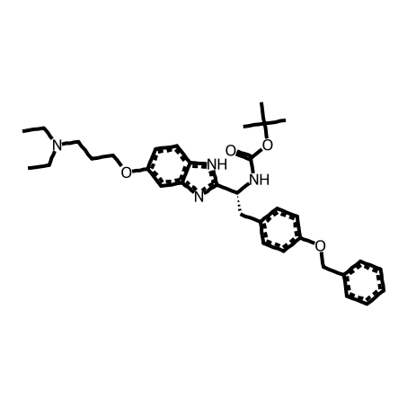 CCN(CC)CCCOc1ccc2[nH]c([C@@H](Cc3ccc(OCc4ccccc4)cc3)NC(=O)OC(C)(C)C)nc2c1